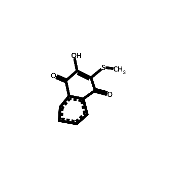 CSC1=C(O)C(=O)c2ccccc2C1=O